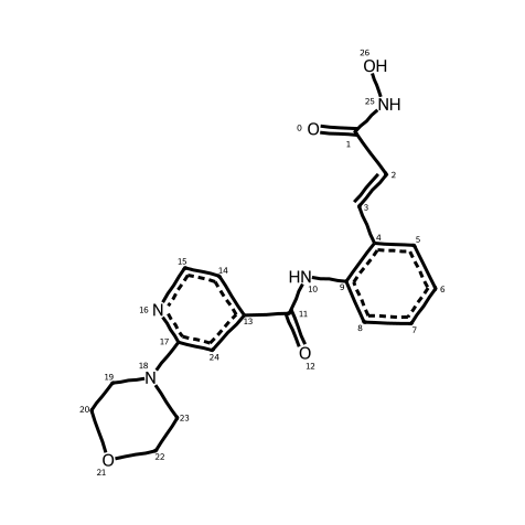 O=C(C=Cc1ccccc1NC(=O)c1ccnc(N2CCOCC2)c1)NO